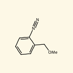 COCc1ccccc1[N+]#N